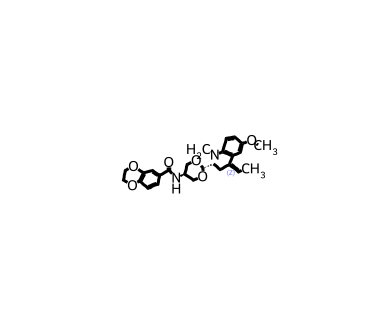 C=Nc1ccc(OC)cc1/C(=C\C)CC[C@H]1OC[C@H](NC(=O)c2ccc3c(c2)OCCO3)CO1